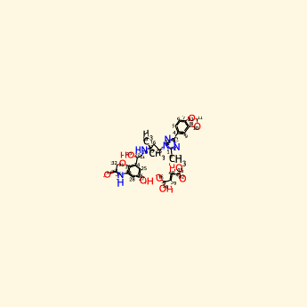 Cc1nc(-c2ccc3c(c2)OCO3)nn1CCC(C)(C)NCC(O)c1cc(O)cc2c1OCC(=O)N2.O=C(O)C=CC(=O)O